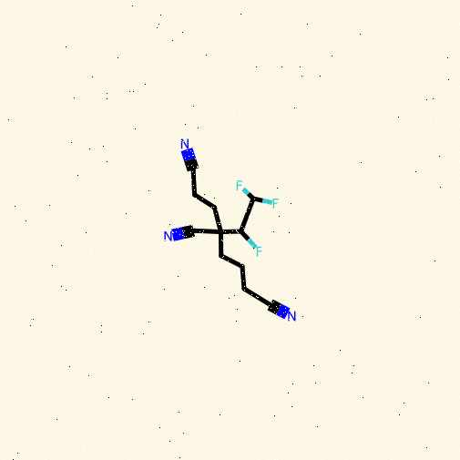 N#CCCCC(C#N)(CCC#N)C(F)C(F)F